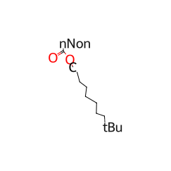 CCCCCCCCCC(=O)OCCCCCCCCC(C)(C)C